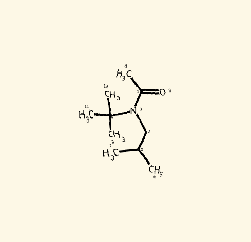 CC(=O)N(CC(C)C)C(C)(C)C